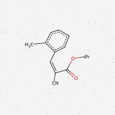 Cc1ccccc1C=C(C#N)C(=O)OC(C)C